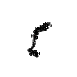 NC(=O)c1c(F)cccc1Nc1nc(NC2CCN(S(=O)(=O)CCNC(=O)CCCCCCCCC#Cc3cccc4c3CN(C3CCC(=O)NC3=O)C4=O)CC2)ncc1Br